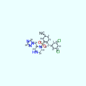 N#Cc1ccc(Cc2cc(Cl)cc(Cl)c2)c(S(=O)(=O)N2CCNCC2Cn2cncn2)c1